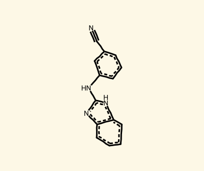 N#Cc1cccc(Nc2nc3ccccc3[nH]2)c1